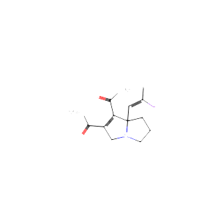 CC/C(I)=C/C12CCCN1CC(C(=O)OC)=C2C(=O)OC